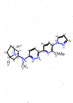 COc1nc(-c2ccc(N(C)C3C[C@H]4CC[C@@H](C3)N4)nn2)ccc1-n1cccn1